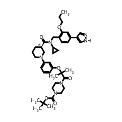 CCCOc1cc(-c2cn[nH]c2)ccc1CN(C(=O)[C@@H]1CCCN(c2cccc(OC(C)(C)C(=O)N3CCN(C(=O)OC(C)(C)C)CC3)c2)C1)C1CC1